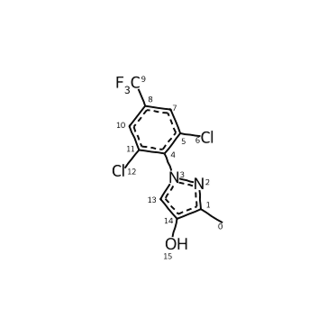 Cc1nn(-c2c(Cl)cc(C(F)(F)F)cc2Cl)cc1O